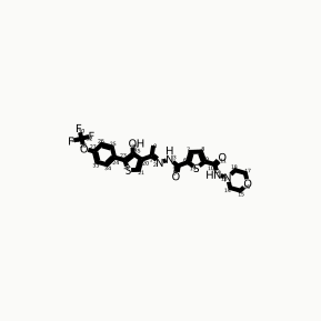 C/C(=N\NC(=O)c1ccc(C(=O)NN2CCOCC2)s1)c1csc(-c2ccc(OC(F)(F)F)cc2)c1O